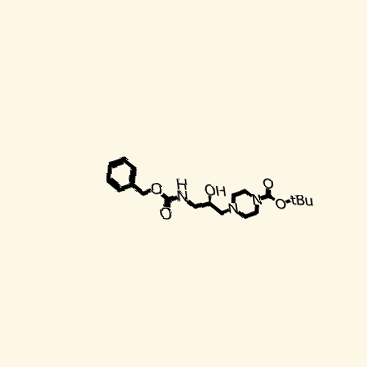 CC(C)(C)OC(=O)N1CCN(C[C@H](O)CNC(=O)OCc2ccccc2)CC1